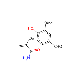 C=C(C(N)=O)C(C)(C)C.COc1cc(C=O)ccc1O